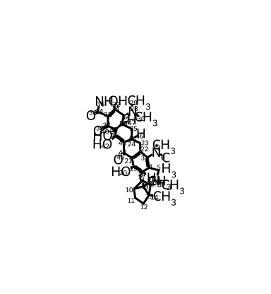 CN(C)c1c(CN(C)[C@H]2CC3CCC2(C)C3(C)C)cc(O)c2c1C[C@H]1C[C@H]3[C@H](N(C)C)C(O)=C(C(N)=O)C(=O)[C@@]3(O)C(O)=C1C2=O